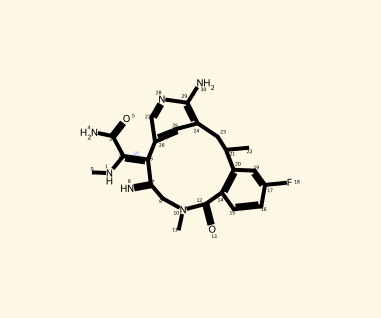 CN/C(C(N)=O)=C1\C(=N)CN(C)C(=O)c2ccc(F)cc2C(C)Cc2cc1cnc2N